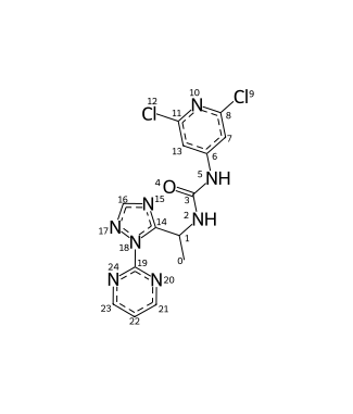 CC(NC(=O)Nc1cc(Cl)nc(Cl)c1)c1ncnn1-c1ncccn1